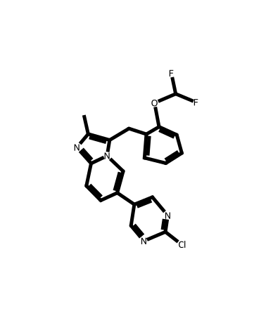 Cc1nc2ccc(-c3cnc(Cl)nc3)cn2c1Cc1ccccc1OC(F)F